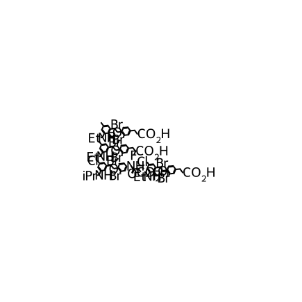 CC(C)Nc1cc(Cl)cc(COc2c(Br)cc(NC(=O)CC(=O)O)cc2Br)c1.CCNc1cc(C)cc(COc2c(Br)cc(CC(F)C(=O)O)cc2Br)c1.CCNc1cc(C)cc(COc2c(Br)cc(CCC(=O)O)cc2Br)c1F.CCNc1cc(Cl)cc(COc2c(Br)cc(CCC(=O)O)cc2Br)c1F